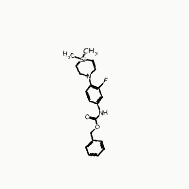 C[Si]1(C)CCN(c2ccc(NC(=O)OCc3ccccc3)cc2F)CC1